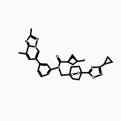 Cc1nc2c(C)cc(-c3cccc(N(CC45CCC(c6nc(C7CC7)no6)(CC4)CC5)C(=O)C45CC(F)(C4)C5)c3)cn2n1